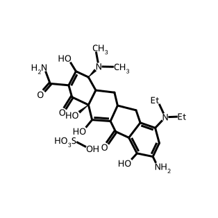 CCN(CC)c1cc(N)c(O)c2c1CC1CC3[C@H](N(C)C)C(O)=C(C(N)=O)C(=O)[C@@]3(O)C(O)=C1C2=O.O=S(=O)(O)O